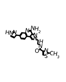 Cc1nc(C(=O)NCCn2cc3c(n2)c(N)nc2cc(-c4cc[nH]n4)ccc23)cs1